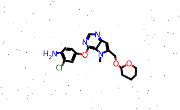 Cn1c(COC2CCCCO2)cc2ncnc(Oc3ccc(N)c(Cl)c3)c21